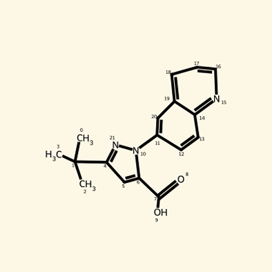 CC(C)(C)c1cc(C(=O)O)n(-c2ccc3ncccc3c2)n1